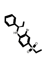 CC[C@@H](Nc1ccc(S(=O)(=O)CC)cc1Br)c1ccccc1